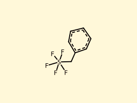 FS(F)(F)(F)(F)Cc1ccccc1